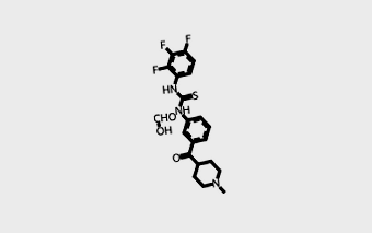 CN1CCC(C(=O)c2cccc(NC(=S)Nc3ccc(F)c(F)c3F)c2)CC1.O=CO